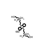 CC(C)(C)c1ccc2c(c1)N(CCCC[N+](C)(C)CCCO)c1ccccc1N2CCCC[N+](C)(C)CCCO